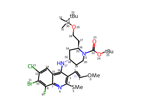 CO/C=C/c1c(SC)nc2c(F)c(Br)c(Cl)cc2c1N[C@H]1CCN(C(=O)OC(C)(C)C)[C@H](CCO[Si](C)(C)C(C)(C)C)C1